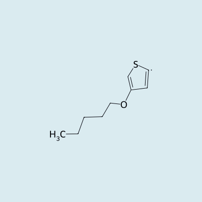 CCCCCOc1c[c]sc1